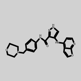 O=C(Nc1ccc(CN2CCOCC2)cc1)c1n[nH]cc1Nc1ccnc2occc12